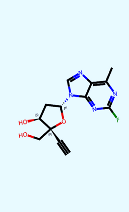 C#C[C@]1(CO)O[C@@H](n2cnc3c(C)nc(F)nc32)C[C@@H]1O